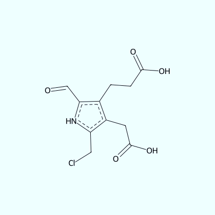 O=Cc1[nH]c(CCl)c(CC(=O)O)c1CCC(=O)O